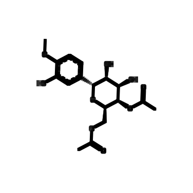 COc1ccc([C@H]2O[C@H](COC(C)=O)[C@H](OC(C)=O)[C@H](O)[C@@H]2O)cc1O